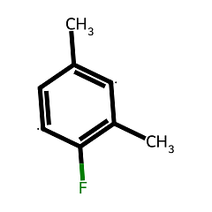 Cc1[c]c(C)c(F)[c]c1